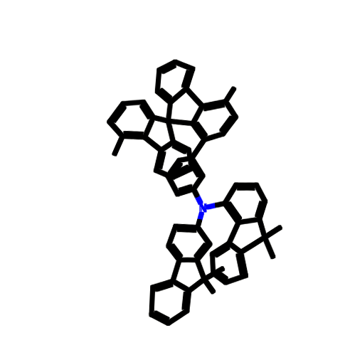 Cc1cccc2c1-c1ccccc1C21c2ccccc2-c2c(C)ccc(-c3cccc(N(c4ccc5c(c4)C(C)(C)c4ccccc4-5)c4cccc5c4-c4ccccc4C5(C)C)c3)c21